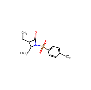 C=CC1C(=O)N(S(=O)(=O)c2ccc([N+](=O)[O-])cc2)C1C(=O)OCC